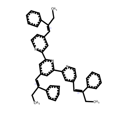 CC/C(=C/c1ccnc(-c2cc(/C=C(/CC)c3ccccc3)cc(-c3cc(/C=C(/CC)c4ccccc4)ccn3)n2)c1)c1ccccc1